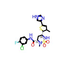 CC1C=C(c2c[nH]cn2)SC1[C@H]1C[C@@H](C(=O)Nc2ccc(F)c(Cl)c2)N(C)S(=O)(=O)N1